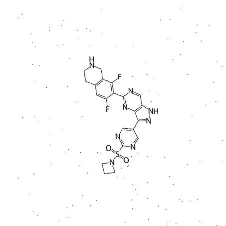 O=S(=O)(c1ncc(-c2n[nH]c3cnc(-c4c(F)cc5c(c4F)CNCC5)nc23)cn1)N1CCC1